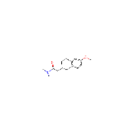 COc1ccc2c(c1)CCC(CC(=O)N(C)C)C2